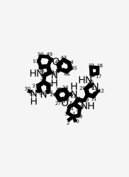 CC1(C)CC(=O)c2c([nH]c(-c3ccnc(NC4CCC4)c3)c2Nc2ccccc2)C1.CNc1cc(-c2[nH]c3c(c2Nc2ccccc2)C(=O)CCC3)ccn1